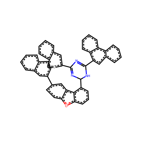 c1ccc2cc(C3=NC(c4cccc5oc6ccc(-c7ccc8ccccc8c7)cc6c45)NC(c4cc5ccccc5c5ccccc45)=N3)ccc2c1